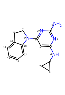 Nc1nc(NC2CC2)cc(N2CCc3ccccc32)n1